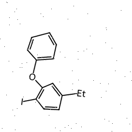 CCc1ccc(I)c(Oc2ccccc2)c1